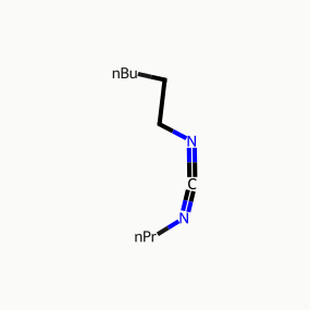 CCCCCCN=C=NCCC